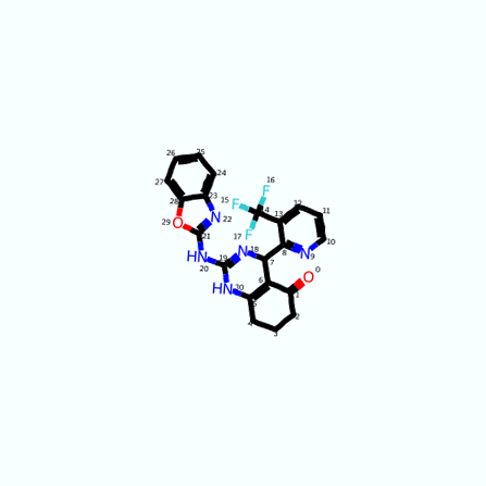 O=C1CCCC2=C1C(c1ncccc1C(F)(F)F)N=C(Nc1nc3ccccc3o1)N2